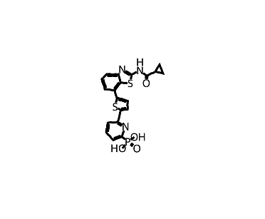 O=C(Nc1nc2cccc(-c3ccc(-c4cccc(P(=O)(O)O)n4)s3)c2s1)C1CC1